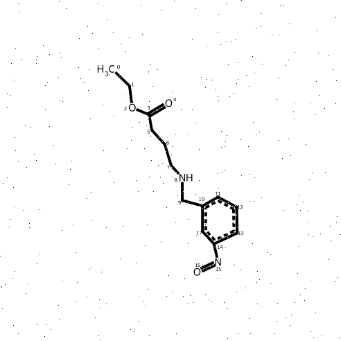 CCOC(=O)CCCNCc1cccc(N=O)c1